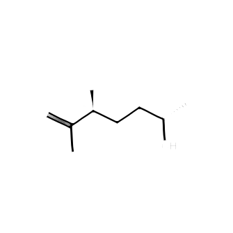 C=C(C)[C@@H](I)CC[C@H](C)O